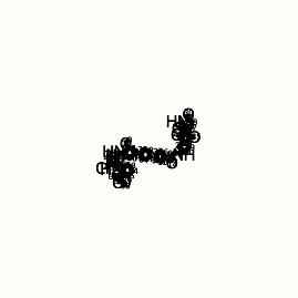 COc1cc(N2CCC(N3CCN(C(=O)CNc4ccc5c(c4)C(=O)N(C4CCC(=O)NC4=O)C5=O)CC3)CC2)ccc1Nc1ncc(Cl)c(Nc2ccccc2P(=O)(OC)OC)n1